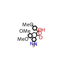 COc1ccc(C2(O)OC(=O)C(c3ccc4nsnc4c3)=C2Cc2ccc(OC)cc2OC)cc1